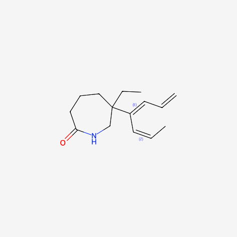 C=C/C=C(\C=C/C)C1(CC)CCCC(=O)NC1